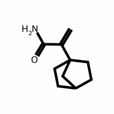 C=C(C(N)=O)C12CCC(CC1)C2